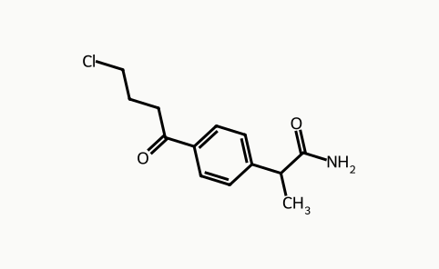 CC(C(N)=O)c1ccc(C(=O)CCCCl)cc1